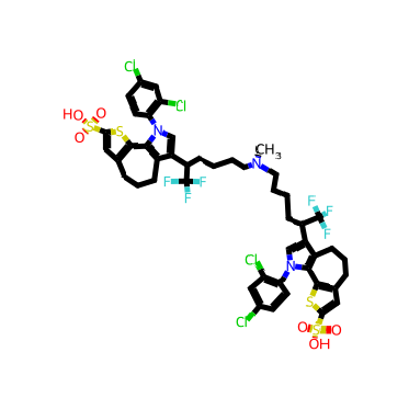 CN(CCCCC(c1cn(-c2ccc(Cl)cc2Cl)c2c1CCCc1cc(S(=O)(=O)O)sc1-2)C(F)(F)F)CCCCC(c1cn(-c2ccc(Cl)cc2Cl)c2c1CCCc1cc(S(=O)(=O)O)sc1-2)C(F)(F)F